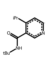 CC(C)c1c[c]ncc1C(=O)NC(C)(C)C